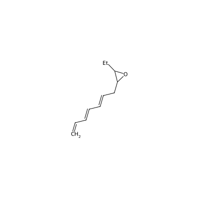 C=CC=CC=CCC1OC1CC